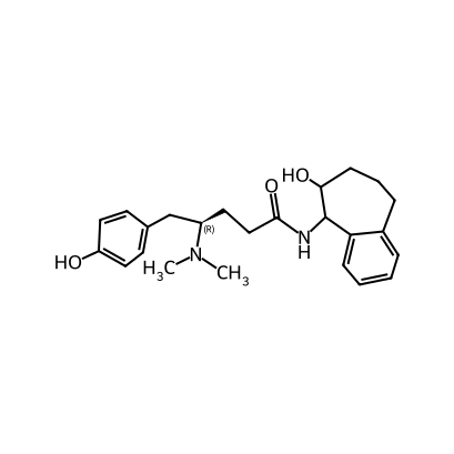 CN(C)[C@H](CCC(=O)NC1c2ccccc2CCCC1O)Cc1ccc(O)cc1